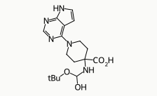 CC(C)(C)OC(O)NC1(C(=O)O)CCN(c2ncnc3[nH]ccc23)CC1